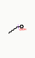 CCCCCCCCC(I)(I)c1cccc(O)c1O